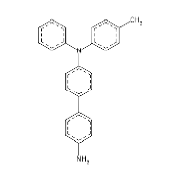 Cc1ccc(N(c2ccccc2)c2ccc(-c3ccc(N)cc3)cc2)cc1